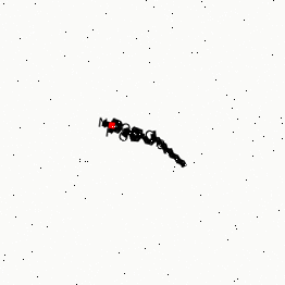 CCCCCCCCOCC1CCC(c2ccc(C(=O)Oc3ccc(C#N)c(F)c3)cc2)CC1